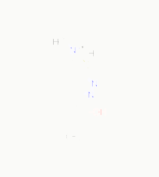 Cc1cc(S[C@H]2CC[C@H]3CC[C@@H]2N3C)nnc1-c1ccc(C(F)(F)F)cc1O